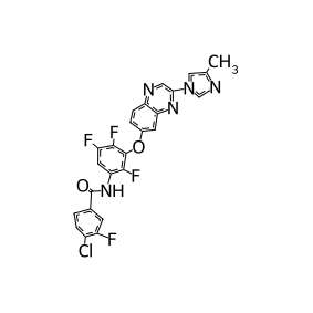 Cc1cn(-c2cnc3ccc(Oc4c(F)c(F)cc(NC(=O)c5ccc(Cl)c(F)c5)c4F)cc3n2)cn1